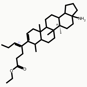 CC/C=C(\CCC(=O)OCC)C1=CCC2(C)C(CCC3(C)C2CCC2C4CCCC4(N)CC[C@]23C)C1C